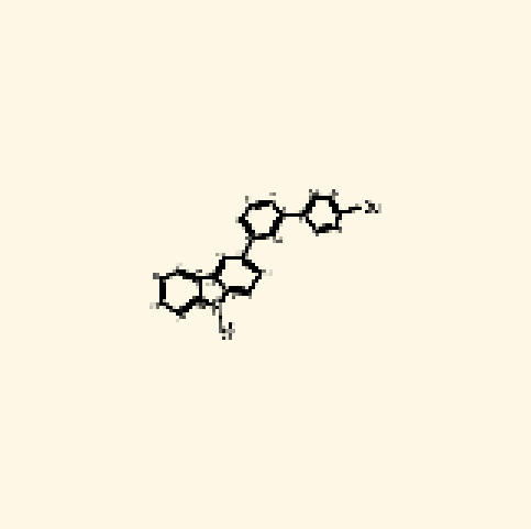 CCC(C)c1ccc(-c2cccc(-c3ccc4c(c3)c3ccccc3n4CC)c2)cc1